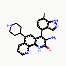 Nc1c(-c2ccc(F)c3[nH]ncc23)c2cc(C3CCNCC3)c3cccnc3c2[nH]c1=O